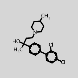 CC1CCN(CCC(C)(O)c2ccc(-c3ccc(Cl)cc3Cl)cc2)CC1